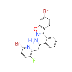 NC(Cc1nc(Br)ccc1F)c1ccccc1-c1noc2cc(Br)ccc12